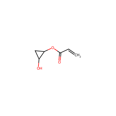 C=CC(=O)OC1CC1O